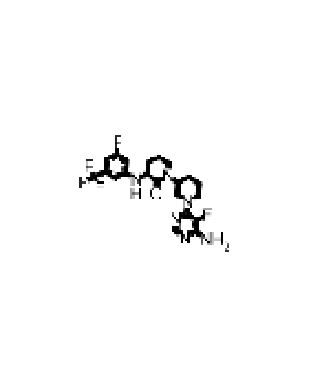 Nc1ncnc(N2CCCC(N3CCCC(Nc4cc(F)cc(C(F)(F)F)c4)C3=O)C2)c1F